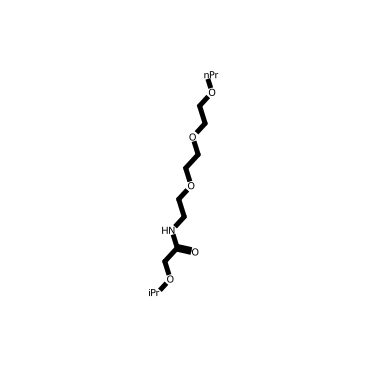 CCCOCCOCCOCCNC(=O)COC(C)C